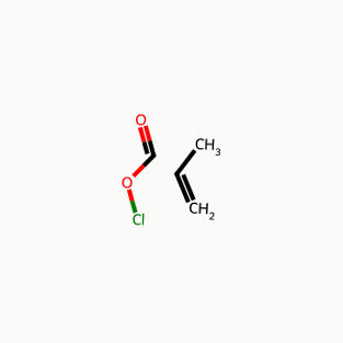 C=CC.O=COCl